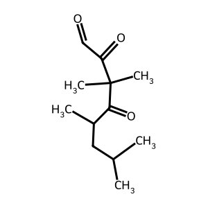 CC(C)CC(C)C(=O)C(C)(C)C(=O)C=O